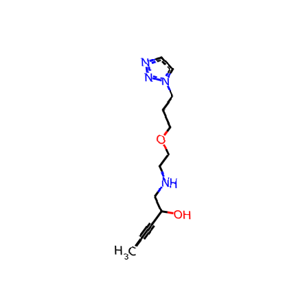 CC#CC(O)CNCCOCCCn1ccnn1